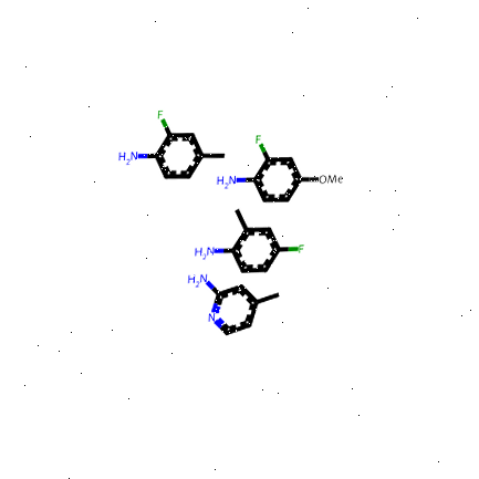 COc1ccc(N)c(F)c1.Cc1cc(F)ccc1N.Cc1ccc(N)c(F)c1.Cc1ccnc(N)c1